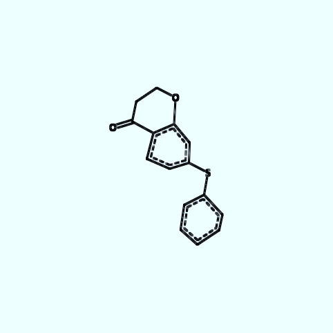 O=C1CCOc2cc(Sc3ccccc3)ccc21